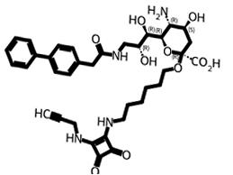 C#CCNc1c(NCCCCCCO[C@]2(C(=O)O)C[C@H](O)[C@@H](N)[C@H]([C@H](O)[C@H](O)CNC(=O)Cc3ccc(-c4ccccc4)cc3)O2)c(=O)c1=O